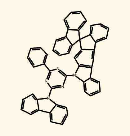 c1ccc(-c2nc(-n3c4ccccc4c4ccccc43)nc(-n3c4ccccc4c4cc5c(cc43)C3(c4ccccc4-c4ccccc43)c3ccccc3-5)n2)cc1